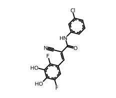 N#CC(=Cc1cc(F)c(O)c(O)c1F)C(=O)Nc1cccc(Cl)c1